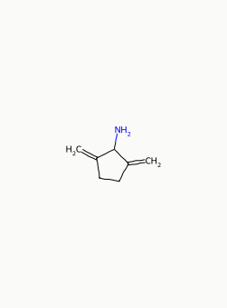 C=C1CCC(=C)C1N